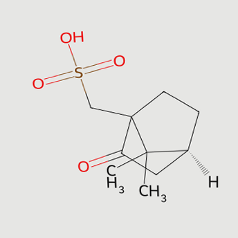 CC1(C)[C@H]2CCC1(CS(=O)(=O)O)C(=O)C2